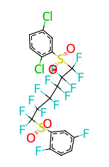 O=S(=O)(c1cc(F)ccc1F)C(F)(F)C(F)(F)C(F)(F)C(F)(F)C(F)(F)C(F)(F)S(=O)(=O)c1cc(Cl)ccc1Cl